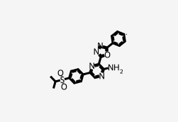 CC(C)S(=O)(=O)c1ccc(-c2cnc(N)c(-c3nnc(-c4cc[c]cc4)o3)n2)cc1